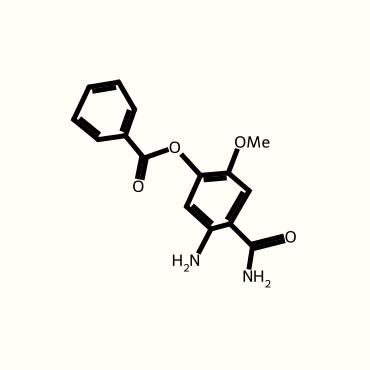 COc1cc(C(N)=O)c(N)cc1OC(=O)c1ccccc1